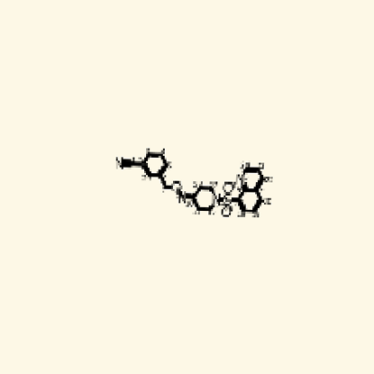 N#Cc1cccc(CON=C2CCN(S(=O)(=O)c3cccc4cccnc34)CC2)c1